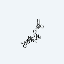 C#CC(=O)N1CCN(c2ccc(-c3cc(OCCN4CNC(=O)C4)cn4ncc(C#N)c34)cn2)CC1